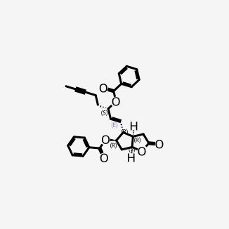 CC#CCC[C@@H](/C=C/[C@@H]1[C@H]2CC(=O)O[C@H]2C[C@H]1OC(=O)c1ccccc1)OC(=O)c1ccccc1